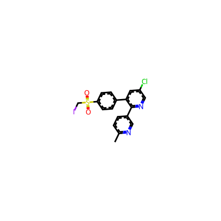 Cc1ccc(-c2ncc(Cl)cc2-c2ccc(S(=O)(=O)CI)cc2)cn1